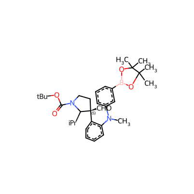 CC(C)C1N(C(=O)OC(C)(C)C)CC[C@]1(C=O)c1ccccc1N(C)c1cccc(B2OC(C)(C)C(C)(C)O2)c1